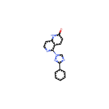 O=c1ccc2c(-n3cnc(-c4ccccc4)n3)nccc2[nH]1